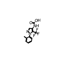 Cc1ccccc1-n1ncc(NC(=O)O)c1C(F)(F)F